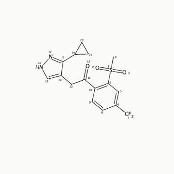 CS(=O)(=O)c1cc(C(F)(F)F)ccc1C(=O)Cc1[c][nH]nc1C1CC1